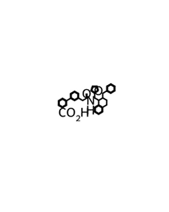 O=C(Cc1cccc(-c2cccc(C(=O)O)c2)c1)NC(c1ccco1)C1c2ccccc2CCC1Cc1ccccc1